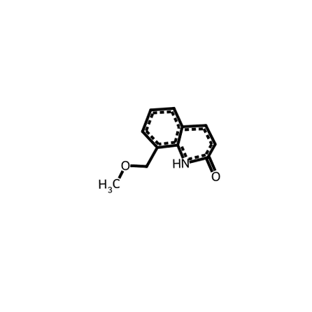 COCc1cccc2ccc(=O)[nH]c12